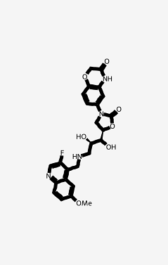 COc1ccc2ncc(F)c(CNC[C@@H](O)C(O)[C@H]3CN(c4ccc5c(c4)NC(=O)CO5)C(=O)O3)c2c1